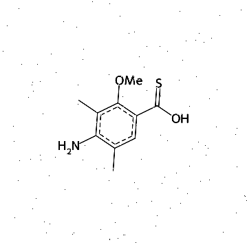 COc1c(C(O)=S)cc(C)c(N)c1C